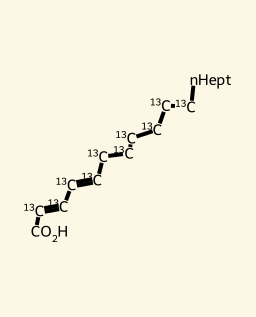 [13CH3][13CH2][13CH2][13CH2][13CH2][13CH2][13CH2][13CH2][13CH2][13CH2][13CH2][13CH2][13CH2][13CH]=[13CH][13CH]=[13CH][13C](=O)O